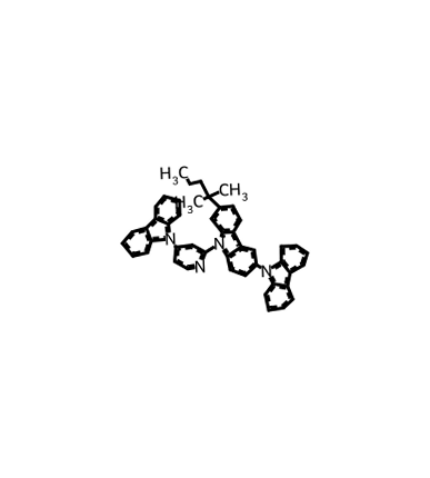 CCCC(C)(C)c1ccc2c3cc(-n4c5ccccc5c5ccccc54)ccc3n(-c3cc(-n4c5ccccc5c5ccccc54)ccn3)c2c1